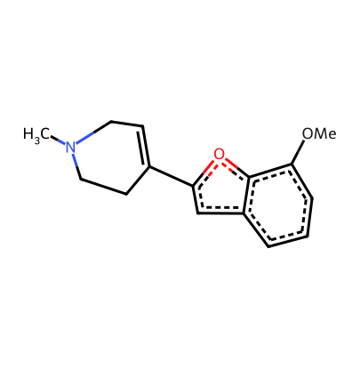 COc1cccc2cc(C3=CCN(C)CC3)oc12